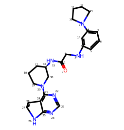 O=C(CNc1cccc(N2CCCC2)c1)N[C@@H]1CCCN(c2ncnc3[nH]ccc23)C1